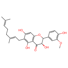 COc1cc(C2Oc3cc(O)c(C/C=C(\C)CCC=C(C)C)c(O)c3C(=O)[C@@H]2O)ccc1O